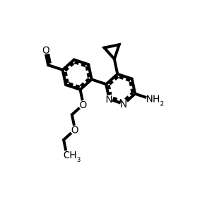 CCOCOc1cc(C=O)ccc1-c1nnc(N)cc1C1CC1